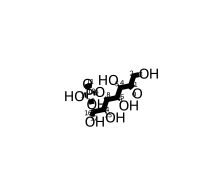 O=C(CO)[C@@H](O)[C@H](O)[C@H](OP(=O)(O)O)[C@H](O)CO